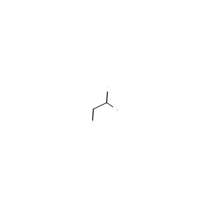 [3H][CH]([Al])CCC